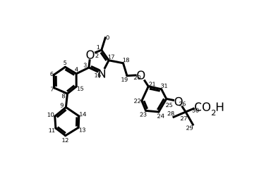 Cc1oc(-c2cccc(-c3ccccc3)c2)nc1CCOc1cccc(OC(C)(C)C(=O)O)c1